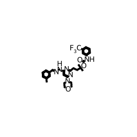 Cc1cccc(C=NNc2cc(N3CCOCC3)nc(CCC(C)(C)OC(=O)Nc3cccc(C(F)(F)F)c3)n2)c1